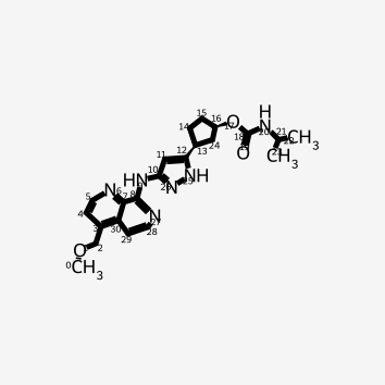 COCc1ccnc2c(Nc3cc([C@H]4CC[C@@H](OC(=O)NC(C)C)C4)[nH]n3)nccc12